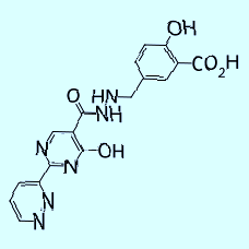 O=C(O)c1cc(CNNC(=O)c2cnc(-c3cccnn3)nc2O)ccc1O